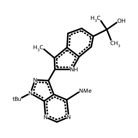 CNc1ncnc2c1c(-c1[nH]c3cc(C(C)(C)O)ccc3c1C)nn2C(C)(C)C